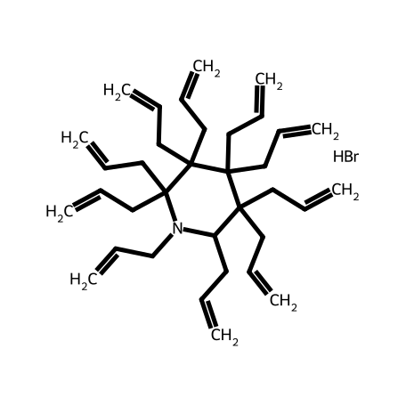 Br.C=CCC1N(CC=C)C(CC=C)(CC=C)C(CC=C)(CC=C)C(CC=C)(CC=C)C1(CC=C)CC=C